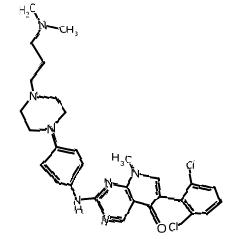 CN(C)CCCN1CCN(c2ccc(Nc3ncc4c(=O)c(-c5c(Cl)cccc5Cl)cn(C)c4n3)cc2)CC1